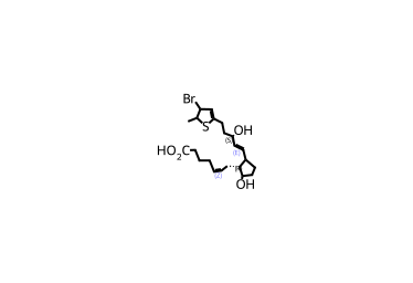 CC1SC(CC[C@H](O)/C=C/C2CCC(O)[C@@H]2C/C=C\CCCC(=O)O)=CC1Br